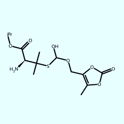 Cc1oc(=O)oc1COC(O)SC(C)(C)[C@@H](N)C(=O)OC(C)C